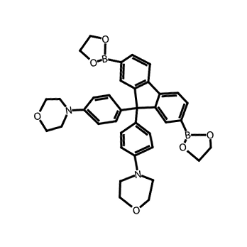 c1cc2c(cc1B1OCCO1)C(c1ccc(N3CCOCC3)cc1)(c1ccc(N3CCOCC3)cc1)c1cc(B3OCCO3)ccc1-2